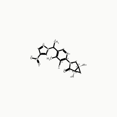 Cc1c(C(C)n2cc([N+](=O)[O-])cn2)cnc(N2C[C@H]3C[C@H]3C2=O)c1F